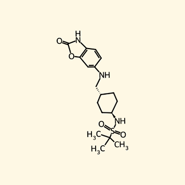 CC(C)(C)S(=O)(=O)N[C@H]1CC[C@H](CNc2ccc3[nH]c(=O)oc3c2)CC1